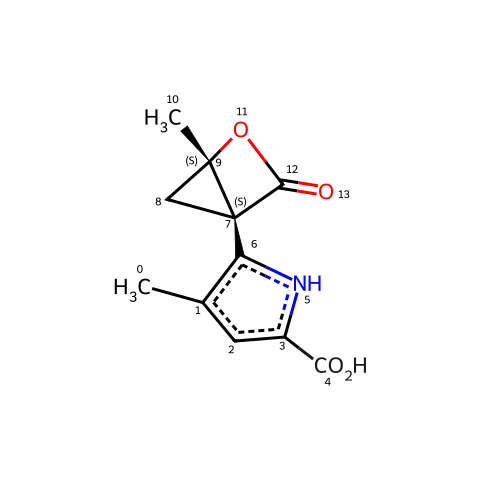 Cc1cc(C(=O)O)[nH]c1[C@@]12C[C@]1(C)OC2=O